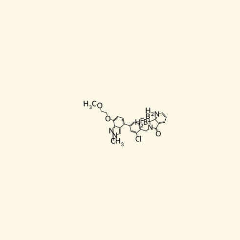 BC1(B)c2ncccc2C(=O)N1Cc1c(F)cc(-c2ccc(OCCOC)c3nn(C)cc23)cc1Cl